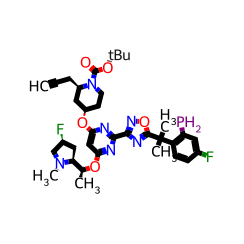 C#CC[C@@H]1C[C@@H](Oc2cc(O[C@@H](C)[C@@H]3C[C@@H](F)CN3C)nc(-c3noc(C(C)(C)c4ccc(F)cc4P)n3)n2)CCN1C(=O)OC(C)(C)C